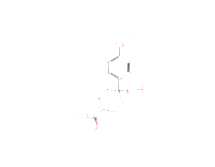 COC(=O)C1CCC(O)(c2ccc(OC)cc2)CC1